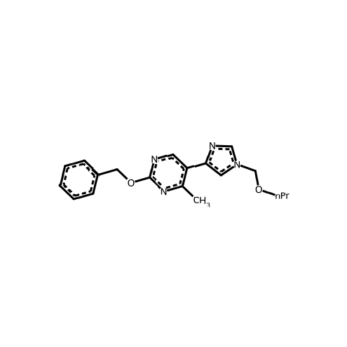 CCCOCn1cnc(-c2cnc(OCc3ccccc3)nc2C)c1